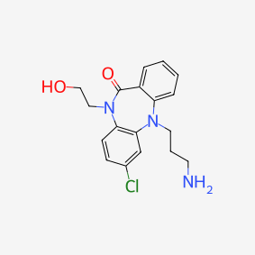 NCCCN1c2ccccc2C(=O)N(CCO)c2ccc(Cl)cc21